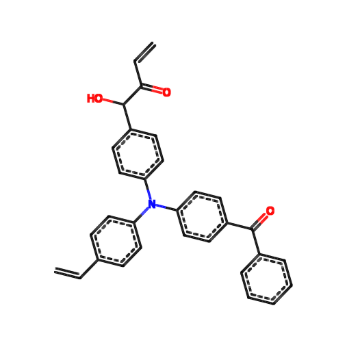 C=CC(=O)C(O)c1ccc(N(c2ccc(C=C)cc2)c2ccc(C(=O)c3ccccc3)cc2)cc1